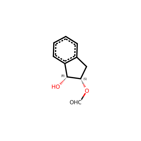 O=CO[C@H]1Cc2ccccc2[C@H]1O